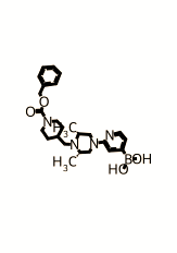 C[C@@H]1CN(c2cc(B(O)O)ccn2)C[C@H](C)N1CC1CCN(C(=O)OCc2ccccc2)CC1